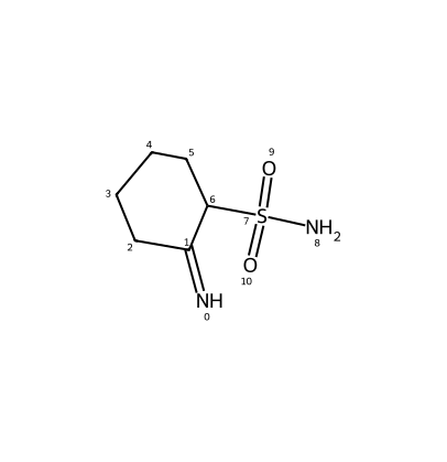 N=C1CCCCC1S(N)(=O)=O